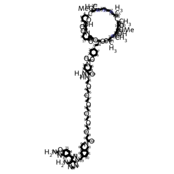 CO[C@H]1CC2CCC[C@@](O)(O2)C(=O)C(=O)N2CCCC[C@H]2C(=O)O[C@H](CC[C@H]2CC[C@H](OC(=O)N3CCC(N)(C(=O)NCCOCCOCCOCCOCCOCCOCCC(=O)N4CCc5cc(Cn6nc(-c7ccc8oc(N)nc8c7)c7c(N)ncnc76)ccc5C4)CC3)CC2)CC[C@H](C)/C=C(\C)[C@@H](O)[C@@H](OC)C(=O)[C@H](C)C[C@H](C)/C=C/C=C/C=C/1C